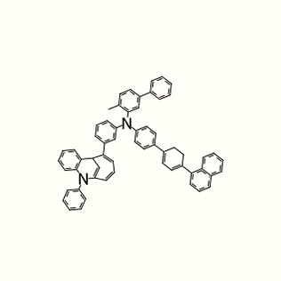 Cc1ccc(-c2ccccc2)cc1N(c1ccc(C2=CC=C(c3cccc4ccccc34)CC2)cc1)c1cccc(C2=CC=CC3=CC2c2ccccc2N3c2ccccc2)c1